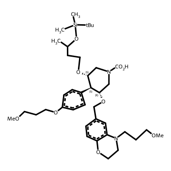 COCCCOc1ccc([C@@H]2[C@@H](OCc3ccc4c(c3)N(CCCOC)CCO4)CN(C(=O)O)C[C@H]2OCCC(C)O[Si](C)(C)C(C)(C)C)cc1